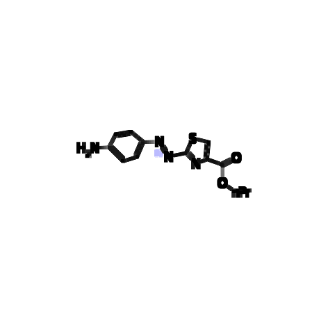 CCCOC(=O)c1csc(/N=N/c2ccc(N)cc2)n1